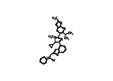 CC(C)c1nc2nn(C)cc2cc1-c1nc(-c2cccc3nn(C[S@@+]([O-])c4ccccc4)cc23)c(C2CC2)n1C